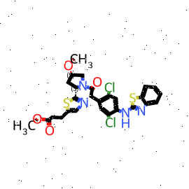 COC(=O)CCc1cnc([C@@H]2C[C@H](OC)CN2C(=O)Cc2cc(Cl)c(Nc3nc4ccccc4s3)cc2Cl)s1